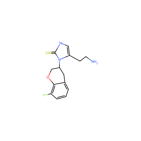 NCCC1=C[N]C(=S)N1C1COc2c(F)cccc2C1